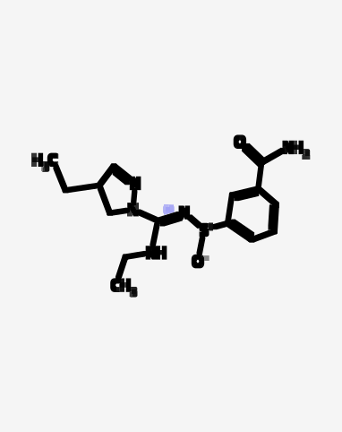 CCN/C(=N\[S+]([O-])c1cccc(C(N)=O)c1)N1CC(CC)C=N1